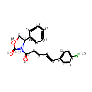 O=C(CCC=Cc1ccc(F)cc1)N1C(=O)OCC1c1ccccc1